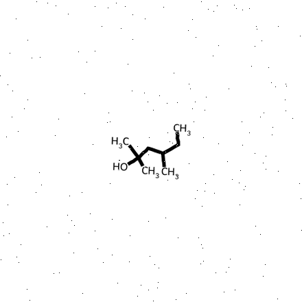 CCC(C)CC(C)(C)O